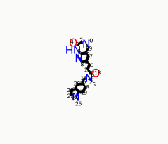 CN1CC(=O)Nc2ncc(C=CC(=O)N(C)Cc3ccc4c(ccn4C)c3)cc2C1